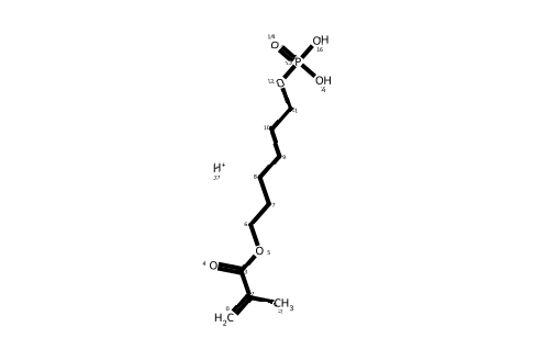 C=C(C)C(=O)OCCCCCCOP(=O)(O)O.[H+]